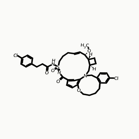 CO[C@H]1/C=C/CCCS(=O)(NC(=O)CCc2ccc(Cl)cc2)=NC(=O)c2ccc3c(c2)N(Cc2ccc(Cl)cc2CCCCO3)C[C@@H]2CC[C@H]21